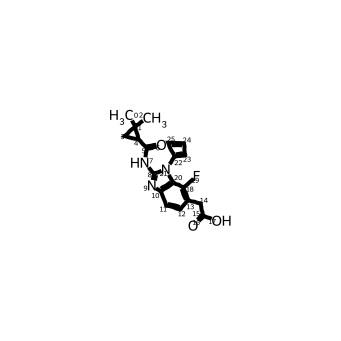 CC1(C)CC1C(=O)Nc1nc2ccc(CC(=O)O)c(F)c2n1C1=CC=C1